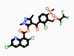 Cc1nn(C)c(OC(=O)c2c(Cl)ccc3cc(Cl)cnc23)c1C(=O)c1ccc(S(C)(=O)=O)c(COC(F)C(F)F)c1Cl